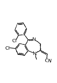 CN1C(=CC#N)CN=C(c2ccccc2Cl)c2cc(Cl)ccc21